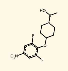 CB(O)N1CCC(Oc2c(F)cc([N+](=O)[O-])cc2F)CC1